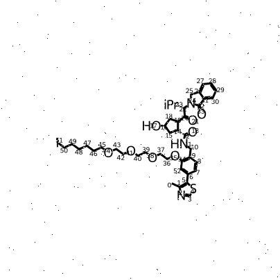 Cc1ncsc1-c1ccc(CNC(=O)[C@@H]2C[C@@H](O)CC2C(=O)[C@H](C(C)C)N2Cc3ccccc3C2=O)c(OCCOCCOCCOCCCCCCI)c1